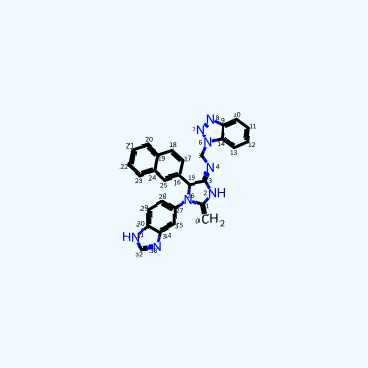 C=C1N/C(=N/Cn2nnc3ccccc32)C(c2ccc3ccccc3c2)N1c1ccc2[nH]cnc2c1